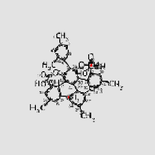 Cc1ccc(-c2c(OP(=O)(O)O)c(-c3ccc(C)cc3C)c(-c3ccc(C)cc3C)c(-c3ccc(C)cc3C)c2OP(=O)(O)O)c(C)c1